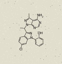 Cc1nn(C(C)c2nn(-c3ccccc3O)c3cc(Cl)ccc23)c2ncnc(N)c12